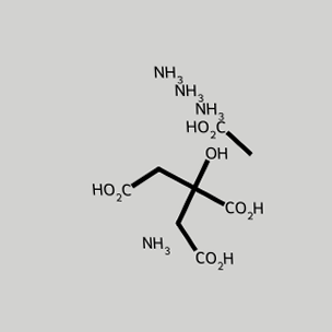 CC(=O)O.N.N.N.N.O=C(O)CC(O)(CC(=O)O)C(=O)O